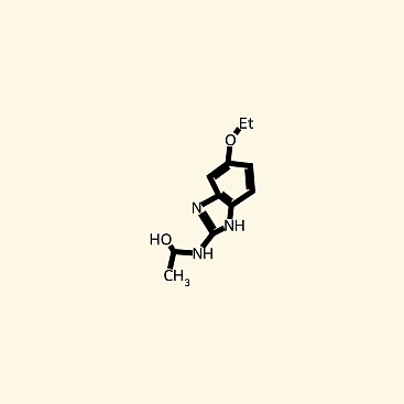 CCOc1ccc2[nH]c(NC(C)O)nc2c1